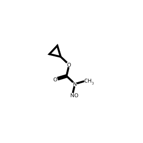 CN(N=O)C(=O)OC1CC1